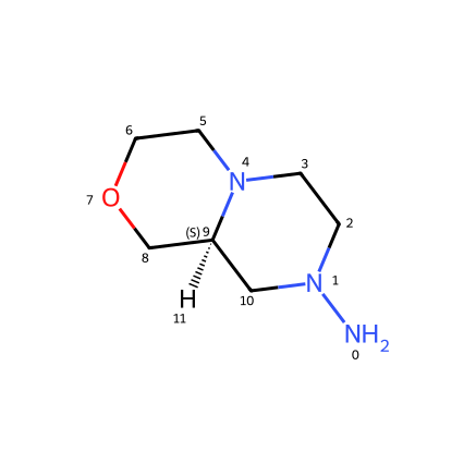 NN1CCN2CCOC[C@@H]2C1